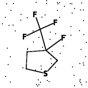 FC(F)(F)C1(F)CCSC1